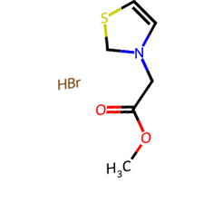 Br.COC(=O)CN1C=CSC1